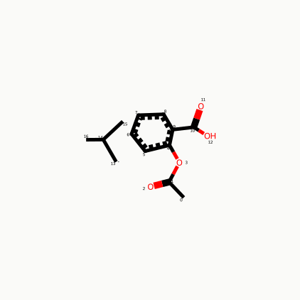 CC(=O)Oc1ccccc1C(=O)O.[CH2]C(C)C